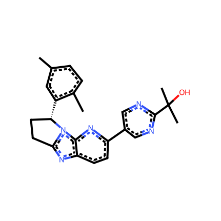 Cc1ccc(C)c([C@H]2CCc3nc4ccc(-c5cnc(C(C)(C)O)nc5)nc4n32)c1